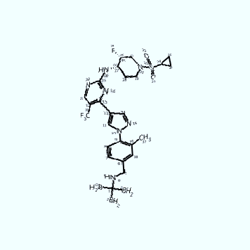 BC(B)(B)NCc1ccc(-n2cc(-c3nc(N[C@H]4CCN(S(=O)(=O)C5CC5)C[C@H]4F)ncc3C(F)(F)F)cn2)c(C)c1